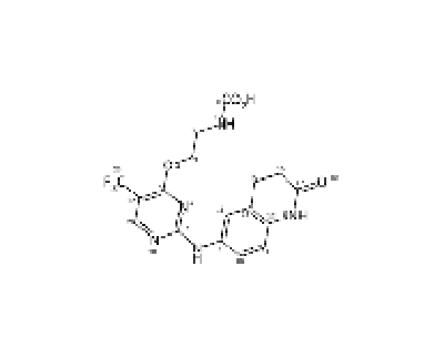 O=C(O)NCCOc1nc(Nc2ccc3c(c2)CCC(=O)N3)ncc1C(F)(F)F